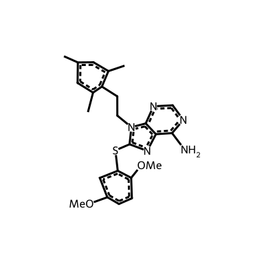 COc1ccc(OC)c(Sc2nc3c(N)ncnc3n2CCc2c(C)cc(C)cc2C)c1